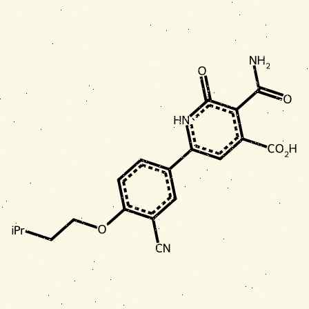 CC(C)CCOc1ccc(-c2cc(C(=O)O)c(C(N)=O)c(=O)[nH]2)cc1C#N